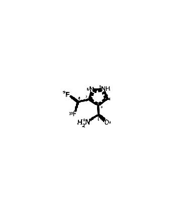 NC(=O)c1c[nH]nc1C(F)F